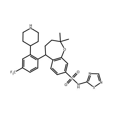 CC1(C)CCC(c2ccc(C(F)(F)F)cc2C2CCNCC2)c2ccc(S(=O)(=O)Nc3ncns3)cc2O1